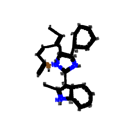 C=C(Br)/C=C\C(=C/C)c1[nH]c(-c2c(C)[nH]c3ccccc23)nc1-c1ccccc1